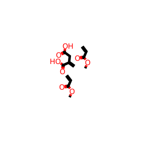 C=C(CC(=O)O)C(=O)O.C=CC(=O)OC.C=CC(=O)OC